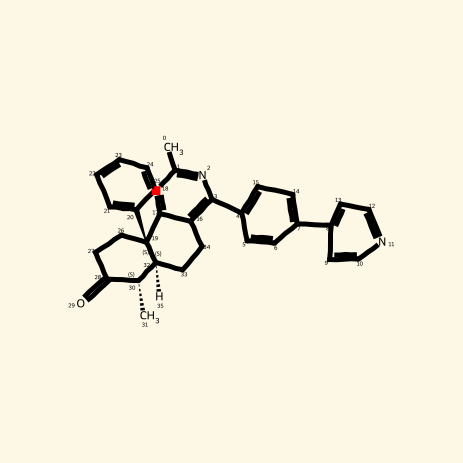 Cc1nc(-c2ccc(-c3ccncc3)cc2)c2c(n1)[C@@]1(c3ccccc3)CCC(=O)[C@@H](C)[C@@H]1CC2